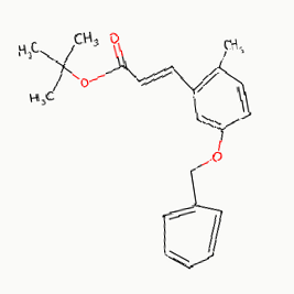 Cc1ccc(OCc2ccccc2)cc1/C=C/C(=O)OC(C)(C)C